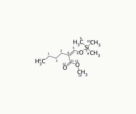 CCCCC(=CO[Si](C)(C)C)C(=O)OC